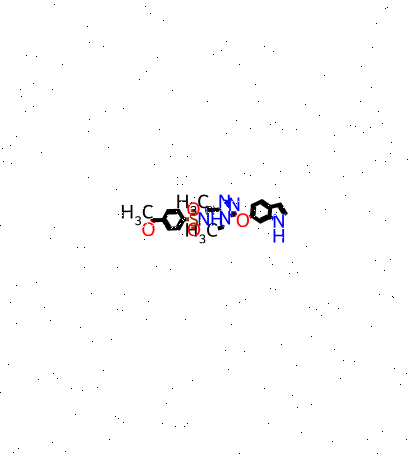 CCn1c(Oc2ccc3cc[nH]c3c2)nnc1[C@@H](C)NS(=O)(=O)c1ccc(C(C)=O)cc1